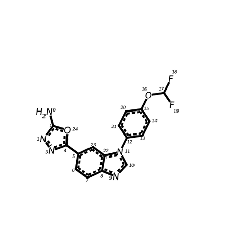 Nc1nnc(-c2ccc3ncn(-c4ccc(OC(F)F)cc4)c3c2)o1